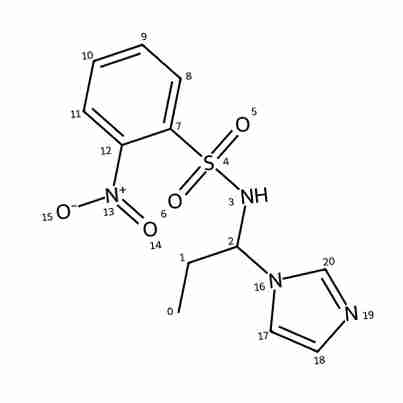 CCC(NS(=O)(=O)c1ccccc1[N+](=O)[O-])n1ccnc1